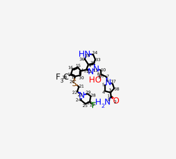 NC(=O)C1CCN(C[C@H](O)Cn2nc(-c3ccc(C(F)(F)F)c(SCCN4CCC(F)CC4)c3)c3c2CCNC3)CC1